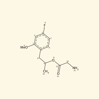 COc1cc(F)ccc1CC(C)OC(=O)CN